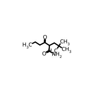 CCCC(=O)C(CC(C)(C)C)C(N)=O